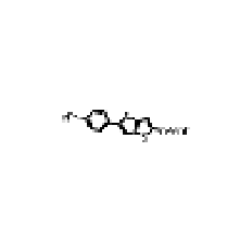 CCCCCc1cc2sc(-c3ccc(CCC)cc3)cc2s1